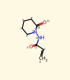 C=CC(=O)NN1CCCCC1=O